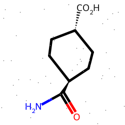 NC(=O)[C@H]1CC[C@H](C(=O)O)CC1